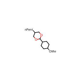 CCCCCC1COC(C2CCC(OC)CC2)OC1